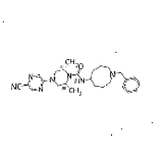 C[C@@H]1CN(c2cnc(C#N)cn2)C[C@H](C)N1C(=O)NC1CCCN(Cc2ccccc2)CCC1